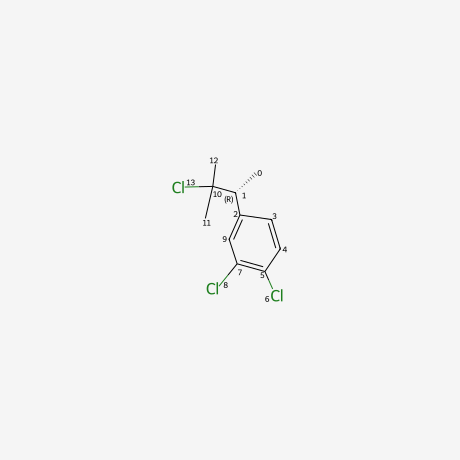 C[C@H](c1ccc(Cl)c(Cl)c1)C(C)(C)Cl